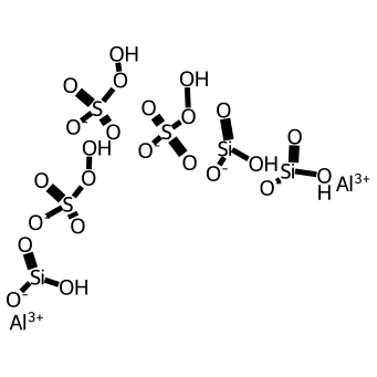 O=S(=O)([O-])OO.O=S(=O)([O-])OO.O=S(=O)([O-])OO.O=[Si]([O-])O.O=[Si]([O-])O.O=[Si]([O-])O.[Al+3].[Al+3]